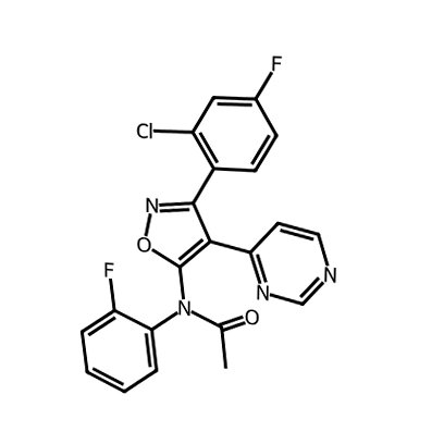 CC(=O)N(c1ccccc1F)c1onc(-c2ccc(F)cc2Cl)c1-c1ccncn1